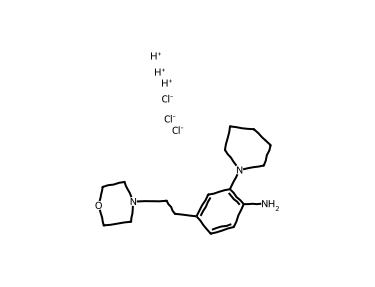 Nc1ccc(CCN2CCOCC2)cc1N1CCCCC1.[Cl-].[Cl-].[Cl-].[H+].[H+].[H+]